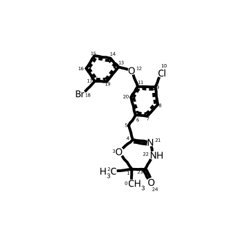 CC1(C)OC(Cc2ccc(Cl)c(Oc3cccc(Br)c3)c2)=NNC1=O